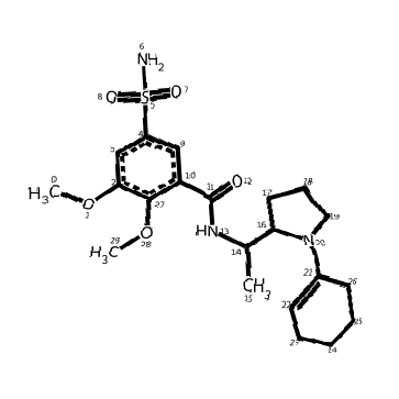 COc1cc(S(N)(=O)=O)cc(C(=O)NC(C)C2CCCN2C2=CCCCC2)c1OC